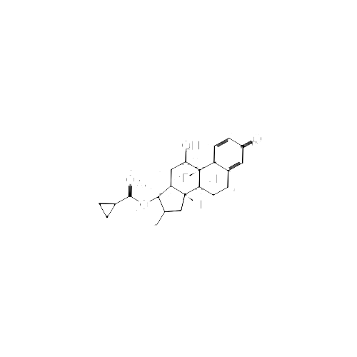 CC(=O)[C@@]1(OC(=O)C2CC2)C(C)C[C@H]2[C@@H]3CCC4=CC(=O)C=C[C@]4(C)[C@@]3(F)C(O)C[C@@]21C